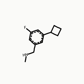 CNCc1cc(F)cc(C2CCC2)c1